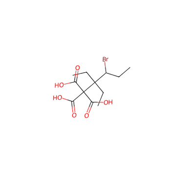 CCC(Br)C(CC)(CC)C(C(=O)O)(C(=O)O)C(=O)O